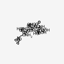 CC1O[C@@H](O[C@@H]2C(COS(=O)(=O)O)O[C@H](O[C@H]3C(C)C(O)[C@H](O[C@H]4C(C)C(N)[C@@H](OCCCCCN(Cc5ccccc5)C(=O)OCc5ccccc5)O[C@H]4COS(=O)(=O)O)O[C@H]3C)[C@@H](N)C2C)C(O)[C@H](OCc2ccccc2)[C@@H]1O[C@H]1O[C@@H](COS(=O)(=O)O)[C@@H](O[C@@H]2O[C@@H](C)[C@@H](O)C(C)C2O)C(C)C1N